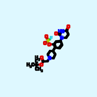 CC(C)(C)OC(=O)CN1CCC(c2ccc(N3CCC(=O)NC3=O)cc2OS(=O)(=O)F)CC1